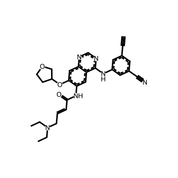 C#Cc1cc(C#N)cc(Nc2ncnc3cc(OC4CCOC4)c(NC(=O)/C=C/CN(CC)CC)cc23)c1